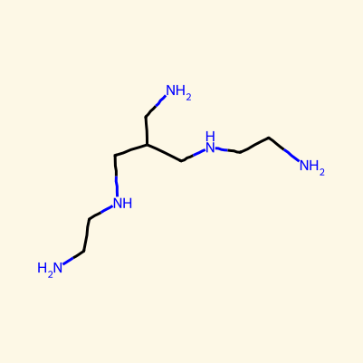 NCCNCC(CN)CNCCN